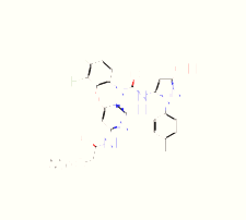 COCC(=O)Nc1cc(Oc2c(NC(=O)Nc3cc(O)nn3-c3ccc(C)cc3)ccc(F)c2F)ccn1